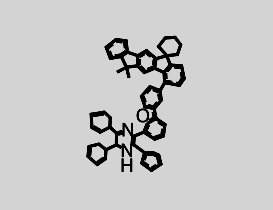 CC1(C)c2ccccc2-c2cc3c(cc21)-c1c(-c2ccc4oc5c(C6=C(c7ccccc7)NC(C7C=CC=CC7)C(C7C=CC=CC7)=N6)cccc5c4c2)cccc1C31CCCCC1